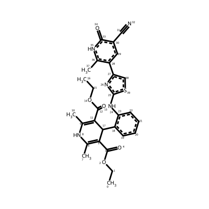 CCOC(=O)C1=C(C)NC(C)=C(C(=O)OCC)C1c1ccccc1Nc1nc(-c2cc(C#N)c(=O)[nH]c2C)cs1